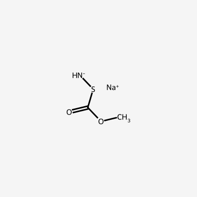 COC(=O)S[NH-].[Na+]